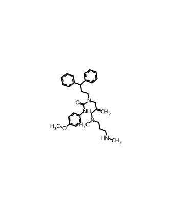 C=C(CN(C)CCCNC)CN(CCC(c1ccccc1)c1ccccc1)C(=O)Nc1ccc(OC)cc1